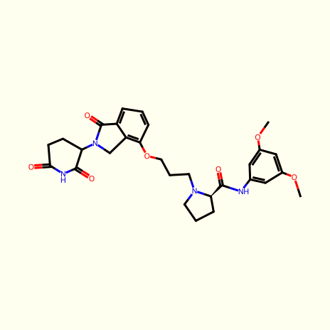 COc1cc(NC(=O)[C@H]2CCCN2CCCOc2cccc3c2CN(C2CCC(=O)NC2=O)C3=O)cc(OC)c1